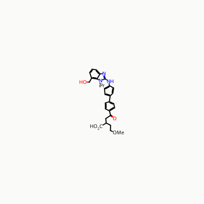 COCCC(CC(=O)c1ccc(-c2ccc(Nc3nc4cccc(CO)c4n3C(C)C)cc2)cc1)C(=O)O